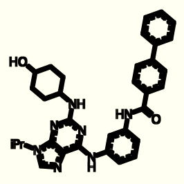 CC(C)n1cnc2c(Nc3cccc(NC(=O)c4ccc(-c5ccccc5)cc4)c3)nc(NC3CCC(O)CC3)nc21